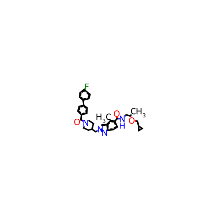 Cc1c(C(=O)NCC(C)OCC2CC2)ccc2nn(CC3CCN(C(=O)c4ccc(-c5ccc(F)cc5)cc4)CC3)cc12